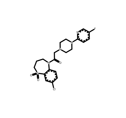 O=C(CN1CCN(c2ccc(F)cn2)CC1)N1CCCS(=O)(=O)c2cc(Cl)ccc21